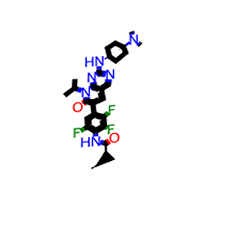 CC(C)n1c(=O)c(-c2cc(F)c(NC(=O)[C@H]3C[C@@H]3C)c(F)c2F)cc2cnc(N[C@H]3CC[C@H](N(C)C)CC3)nc21